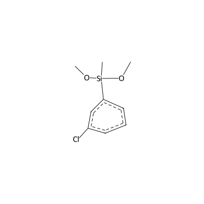 CO[Si](C)(OC)c1cccc(Cl)c1